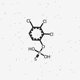 OP(O)(=S)Oc1ccc(Cl)c(Cl)c1Cl